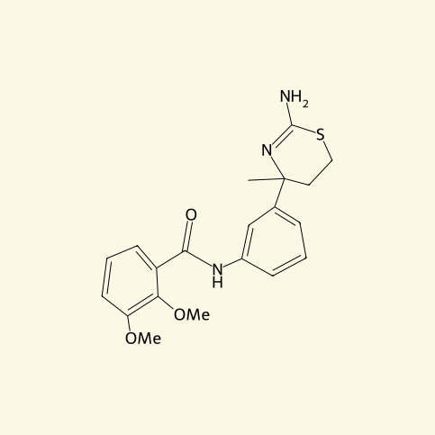 COc1cccc(C(=O)Nc2cccc(C3(C)CCSC(N)=N3)c2)c1OC